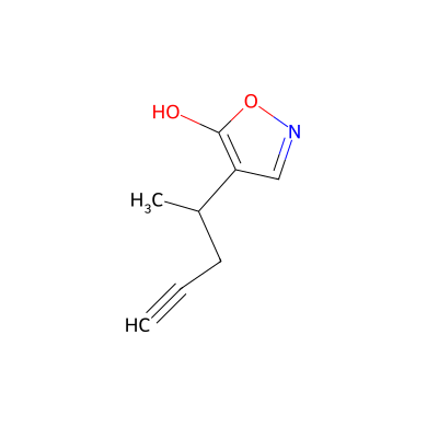 C#CCC(C)c1cnoc1O